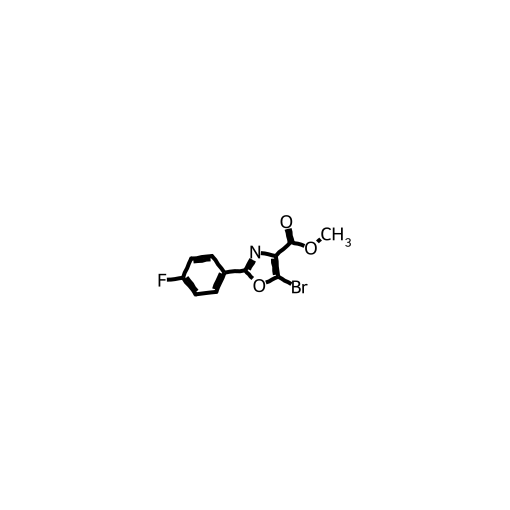 COC(=O)c1nc(-c2ccc(F)cc2)oc1Br